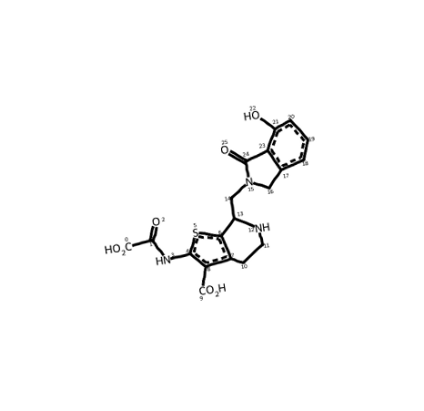 O=C(O)C(=O)Nc1sc2c(c1C(=O)O)CCNC2CN1Cc2cccc(O)c2C1=O